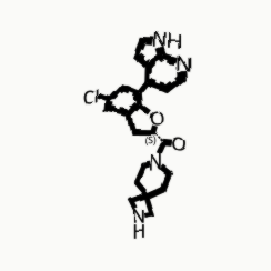 O=C([C@@H]1Cc2cc(Cl)cc(-c3ccnc4[nH]ccc34)c2O1)N1CCC2(CC1)CNC2